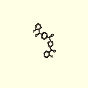 O=C(c1ccc(C(=O)c2ccccc2I)cc1)c1ccc(C(=O)c2ccccc2I)cc1